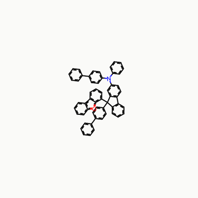 c1ccc(-c2ccc(N(c3ccccc3)c3ccc4c(c3)C(c3ccc(-c5ccccc5)cc3)(c3cccc5c3oc3ccccc35)c3ccccc3-4)cc2)cc1